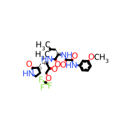 COc1cccc(NC(=O)C(=O)N[C@@H](CC(C)C)C(=O)N[C@@H](C[C@@H]2CCNC2=O)C(=O)COC(F)(F)F)c1